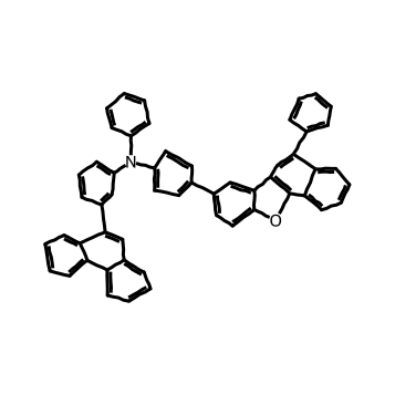 c1ccc(-c2cc3c4cc(-c5ccc(N(c6ccccc6)c6cccc(-c7cc8ccccc8c8ccccc78)c6)cc5)ccc4oc3c3ccccc23)cc1